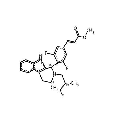 COC(=O)C=Cc1cc(F)c([C@@H]2c3[nH]c4ccccc4c3C[C@@H](C)N2C[C@H](C)CF)c(F)c1